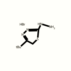 Br.CC(C)(C)C1=NN=C(NN)SC1